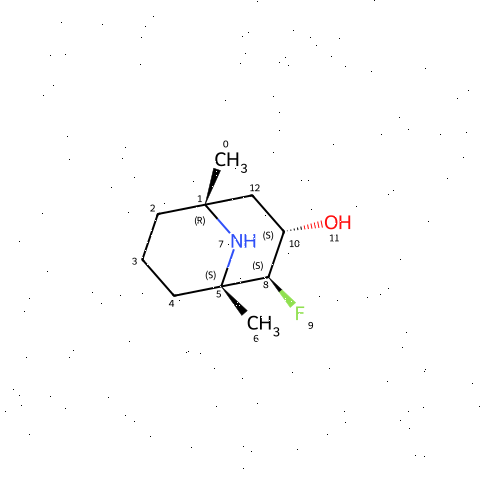 C[C@]12CCC[C@](C)(N1)[C@H](F)[C@@H](O)C2